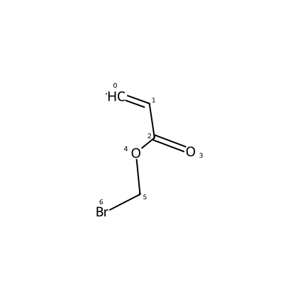 [CH]=CC(=O)OCBr